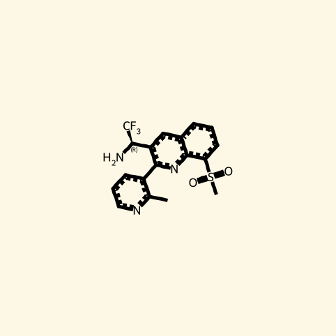 Cc1ncccc1-c1nc2c(S(C)(=O)=O)cccc2cc1[C@@H](N)C(F)(F)F